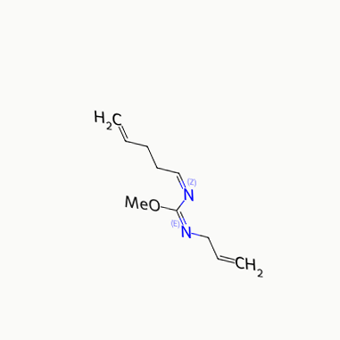 C=CCC/C=N\C(=N/CC=C)OC